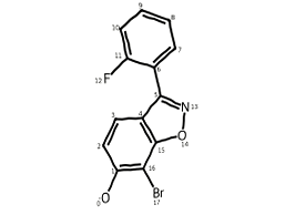 [O]c1ccc2c(-c3ccccc3F)noc2c1Br